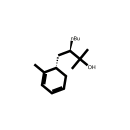 CCCC[C@H](C[C@@H]1CC=CC=C1C)C(C)(C)O